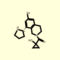 O=C(N1CCc2cc(S)cc([C@@H]3CCCN3)c2C1)C1(O)CC1